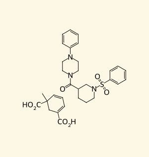 CC1(C(=O)O)C=CC=C(C(=O)O)C1.O=C(C1CCCN(S(=O)(=O)c2ccccc2)C1)N1CCN(c2ccccc2)CC1